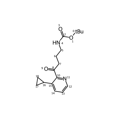 CC(C)(C)OC(=O)NCCCC(=O)c1ncccc1C1CC1